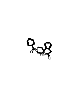 O=C1Cc2ccccc2C2(CCN(C(=O)c3ccccc3)CC2)N1